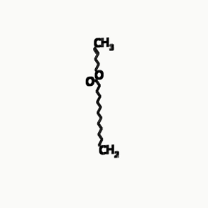 C=CCCCCCCCCCCCC(=O)OCCCC=CC